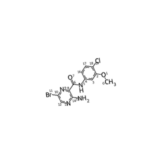 COc1cc(NC(=O)c2nc(Br)cnc2N)ccc1Cl